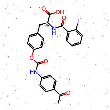 CC(=O)c1ccc(NC(=O)Oc2ccc(C[C@H](NC(=O)c3ccccc3I)C(=O)O)cc2)cc1